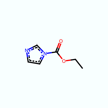 CCOC(=O)n1[c]ncc1